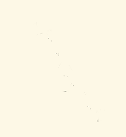 CC(C)C(=S)NC[C@H]1CN(c2ccc(N3CCN(S(C)(=O)=O)CC3)cc2)C(=O)O1